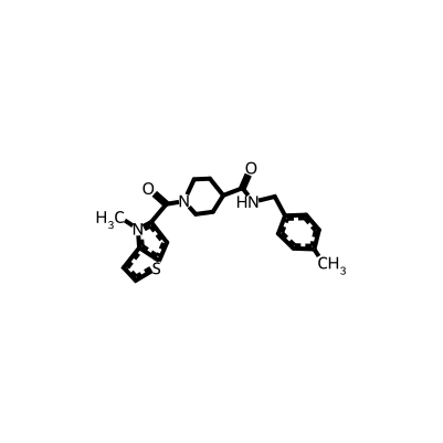 Cc1ccc(CNC(=O)C2CCN(C(=O)c3cc4sccc4n3C)CC2)cc1